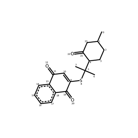 CC1CCC(C(C)(C)SC2=CC(=O)c3ccccc3C2=O)C(=O)C1